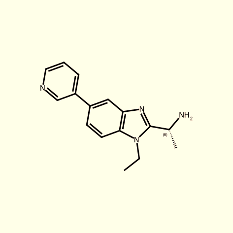 CCn1c([C@@H](C)N)nc2cc(-c3cccnc3)ccc21